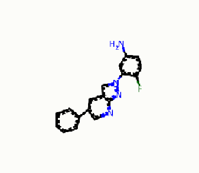 Nc1ccc(F)c(-n2cc3cc(-c4ccccc4)cnc3n2)c1